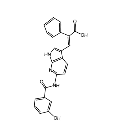 O=C(O)/C(=C/c1c[nH]c2nc(NC(=O)c3cccc(O)c3)ccc12)c1ccccc1